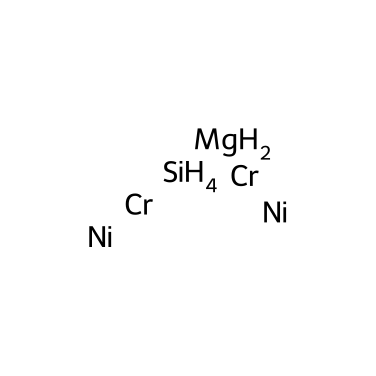 [Cr].[Cr].[MgH2].[Ni].[Ni].[SiH4]